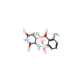 COC(=O)c1c(C)cccc1S(=O)(=O)NC1CCC(=O)NC1=O